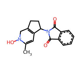 CC1=CC2=C(CCC2N2C(=O)c3ccccc3C2=O)CN1O